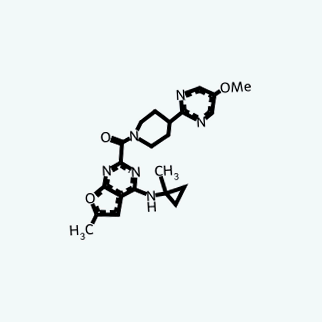 COc1cnc(C2CCN(C(=O)c3nc(NC4(C)CC4)c4cc(C)oc4n3)CC2)nc1